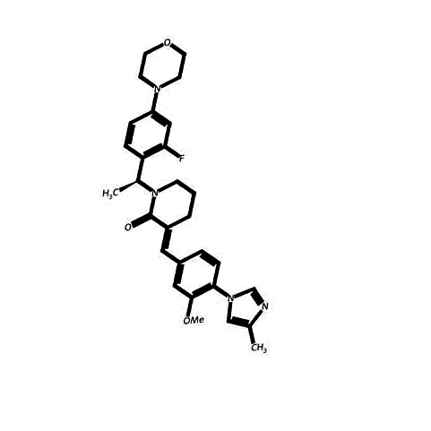 COc1cc(/C=C2\CCCN([C@@H](C)c3ccc(N4CCOCC4)cc3F)C2=O)ccc1-n1cnc(C)c1